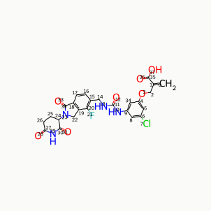 C=C(COc1cc(Cl)cc(NC(=O)NCc2ccc3c(c2F)CN(C2CCC(=O)NC2=O)C3=O)c1)C(=O)O